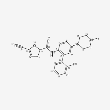 CN1CCN(c2ccc(NC(=O)C3CC=C(C#N)O3)c(-c3ccccc3F)c2)CC1